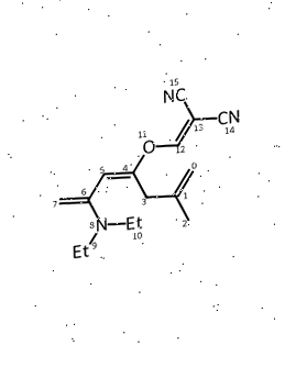 C=C(C)C/C(=C\C(=C)N(CC)CC)OC=C(C#N)C#N